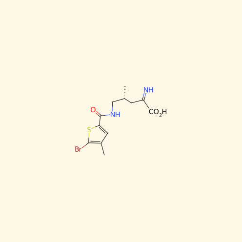 Cc1cc(C(=O)NC[C@H](C)CC(=N)C(=O)O)sc1Br